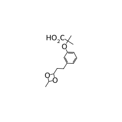 CC1OC(CCc2cccc(OC(C)(C)C(=O)O)c2)O1